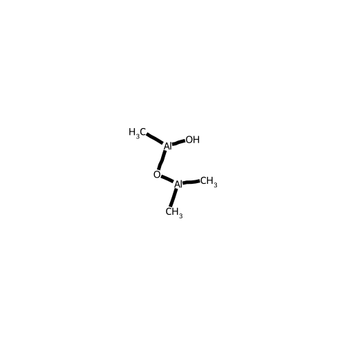 [CH3][Al]([CH3])[O][Al]([CH3])[OH]